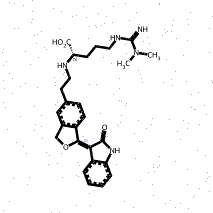 CN(C)C(=N)NCCC[C@H](NCCc1ccc2c(c1)CO/C2=C1/C(=O)Nc2ccccc21)C(=O)O